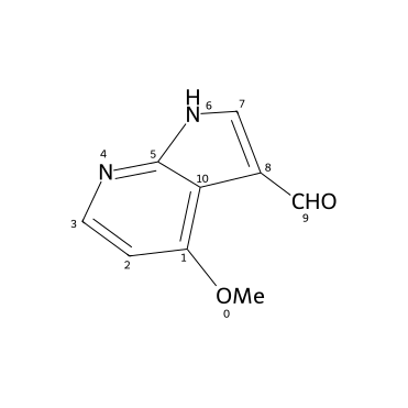 COc1ccnc2[nH]cc(C=O)c12